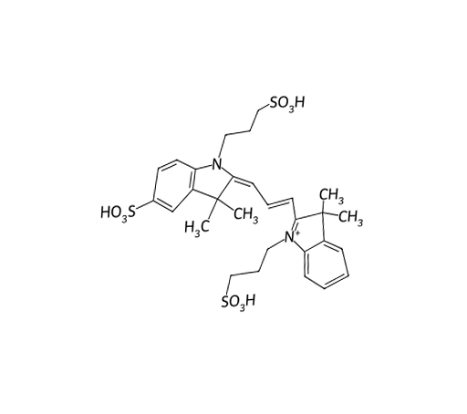 CC1(C)C(/C=C/C=C2/N(CCCS(=O)(=O)O)c3ccc(S(=O)(=O)O)cc3C2(C)C)=[N+](CCCS(=O)(=O)O)c2ccccc21